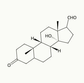 C[C@]12CCC(=O)CC1CC[C@@H]1[C@H]2CC[C@]2(C)C(C=O)CC[C@@]12O